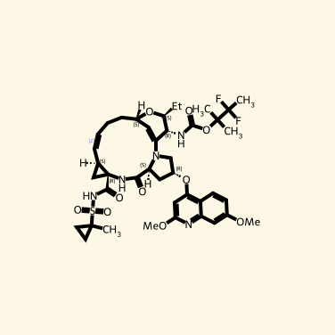 CC[C@@H]1O[C@@H]2C=C([C@H]1NC(=O)OC(C)(C)C(C)(F)F)N1C[C@H](Oc3cc(OC)nc4cc(OC)ccc34)C[C@H]1C(=O)N[C@]1(C(=O)NS(=O)(=O)C3(C)CC3)C[C@H]1/C=C\CC2